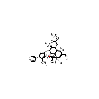 C=C1[C@H](O[C@H]2C=C(C)[C@H](c3ccoc3)C2)C[C@@]2(NC)[C@](C)(C(=O)O)C=C(C=O)C[C@]2(C)[C@H]1CC(=O)OC